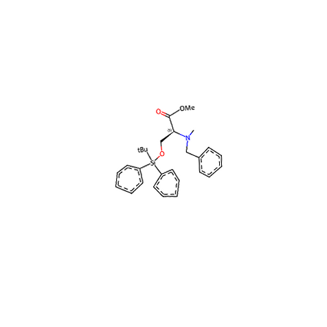 COC(=O)[C@H](CO[Si](c1ccccc1)(c1ccccc1)C(C)(C)C)N(C)Cc1ccccc1